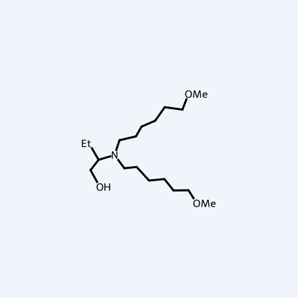 CCC(CO)N(CCCCCCOC)CCCCCCOC